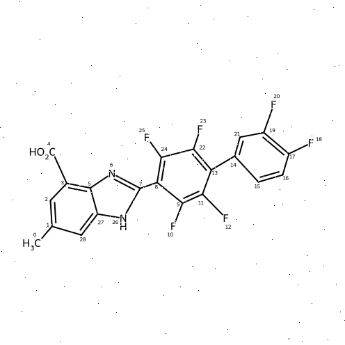 Cc1cc(C(=O)O)c2nc(-c3c(F)c(F)c(-c4ccc(F)c(F)c4)c(F)c3F)[nH]c2c1